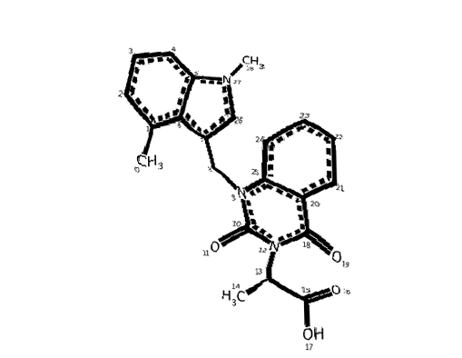 Cc1cccc2c1c(Cn1c(=O)n([C@H](C)C(=O)O)c(=O)c3ccccc31)cn2C